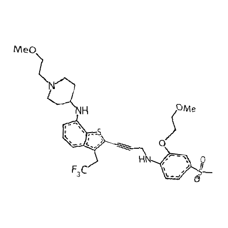 COCCOc1cc(S(C)(=O)=O)ccc1NCC#Cc1sc2c(NC3CCN(CCOC)CC3)cccc2c1CC(F)(F)F